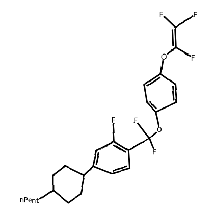 CCCCCC1CCC(c2ccc(C(F)(F)Oc3ccc(OC(F)=C(F)F)cc3)c(F)c2)CC1